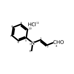 CN(C=CC=O)c1ccccc1.Cl